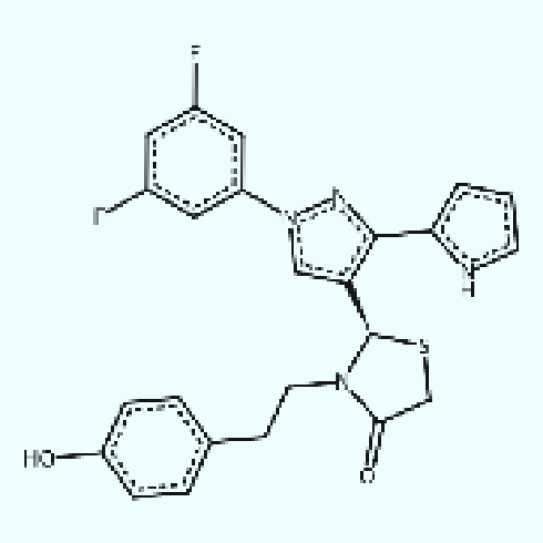 O=C1CS[C@H](c2cn(-c3cc(F)cc(F)c3)nc2-c2ccc[nH]2)N1CCc1ccc(O)cc1